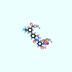 CC(=O)c1cc(-c2ccc3c(c2)CCN(c2ccc(O)c(NS(C)(=O)=O)c2)C3=O)cc(C(F)(F)F)c1